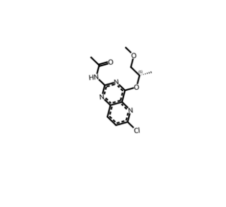 COC[C@H](C)Oc1nc(NC(C)=O)nc2ccc(Cl)nc12